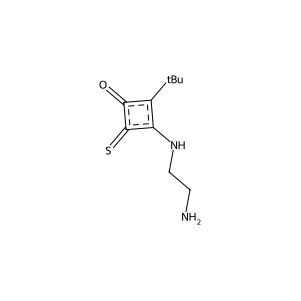 CC(C)(C)c1c(NCCN)c(=S)c1=O